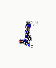 CC(=O)N1CCc2c(c(-c3cccc4cc(-c5ccc(COc6ncc(C(=O)O)cn6)nc5)ncc34)nn2C2CCOCC2)C1